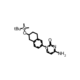 CC(C)(C)[Si](C)(C)OC1CCc2cc(-n3ccc(N)nc3=O)ccc2C1